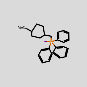 COC1CCC(CP(I)(c2ccccc2)(c2ccccc2)c2ccccc2)CC1